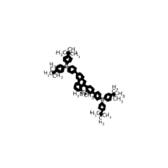 CC(C)(C)c1ccc(B(c2ccc(-c3ccc4c(c3)[Si](C)(C)c3cccc5c3c-4cc3ccc(-c4ccc(B(c6ccc(C(C)(C)C)cc6)c6ccc(C(C)(C)C)cc6)cc4)cc35)cc2)c2ccc(C(C)(C)C)cc2)cc1